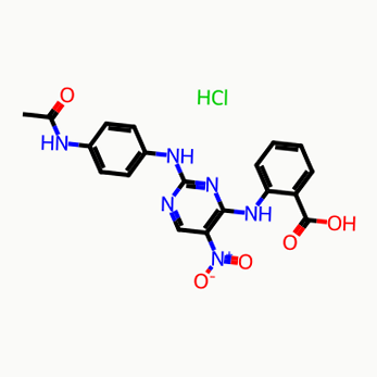 CC(=O)Nc1ccc(Nc2ncc([N+](=O)[O-])c(Nc3ccccc3C(=O)O)n2)cc1.Cl